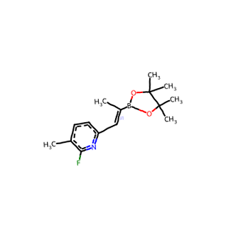 C/C(=C\c1ccc(C)c(F)n1)B1OC(C)(C)C(C)(C)O1